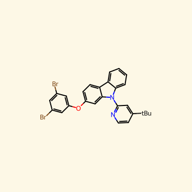 CC(C)(C)c1ccnc(-n2c3ccccc3c3ccc(Oc4cc(Br)cc(Br)c4)cc32)c1